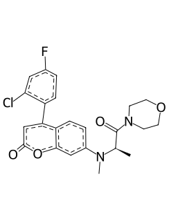 C[C@H](C(=O)N1CCOCC1)N(C)c1ccc2c(-c3ccc(F)cc3Cl)cc(=O)oc2c1